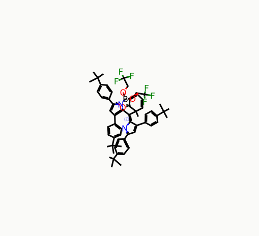 CO[C@@H]1C=CC=CC1(C)/C(=C1/N=C(c2ccc(C(C)(C)C)cc2)C=C1c1ccc(C(C)(C)C)cc1)c1c(-c2ccc(C(C)(C)C)cc2)cc(-c2ccc(C(C)(C)C)cc2)n1B(OCC(F)(F)F)OCC(F)(F)F